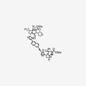 COC(=O)N[C@H](C(=O)N1[C@@H]2C[C@@H]2C[C@H]1c1ncc(C#Cc2ccc3cc(-c4cnc([C@@H]5C[C@@H](C)[C@@H](C)N5C(=O)[C@@H](NC(=O)OC)C5CCOCC5)[nH]4)ccc3c2)[nH]1)C(C)C